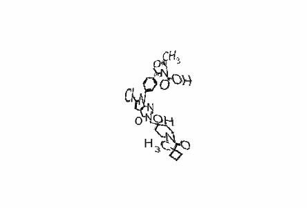 C[C@H]1CN(C(=O)O)[C@H](c2ccc(-n3c(Cl)cc4c(=O)n(CC5(O)CCN(C(=O)C6(C)CCC6)CC5)cnc43)cc2)CO1